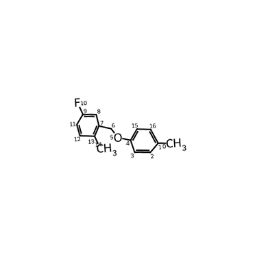 Cc1ccc(OCc2cc(F)ccc2C)cc1